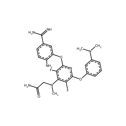 CN(C)c1cccc(Oc2nc(Oc3cc(C(=N)N)ccc3N)c(F)c(N(C)CC(N)=O)c2F)c1